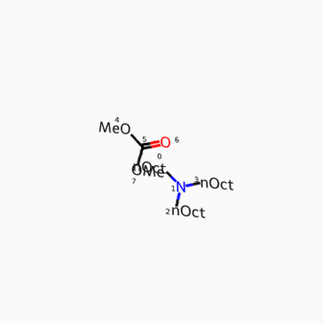 CCCCCCCCN(CCCCCCCC)CCCCCCCC.COC(=O)OC